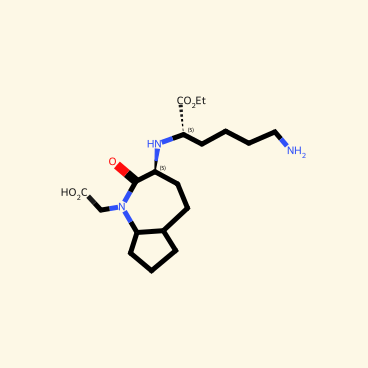 CCOC(=O)[C@H](CCCCN)N[C@H]1CCC2CCCC2N(CC(=O)O)C1=O